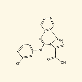 O=C(O)c1cnc2c3cnccc3nc(Nc3cccc(Cl)c3)n12